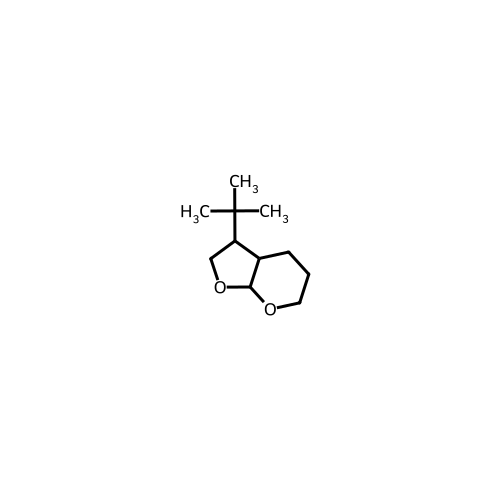 CC(C)(C)C1COC2OCCCC21